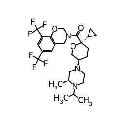 CC(C)N1CCN([C@@H]2CC[C@@](C(=O)N3COc4c(cc(C(F)(F)F)cc4C(F)(F)F)C3)(C3CC3)OC2)C[C@@H]1C